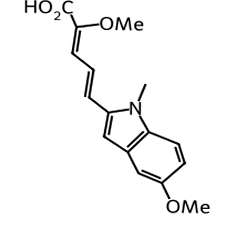 CO/C(=C\C=C\c1cc2cc(OC)ccc2n1C)C(=O)O